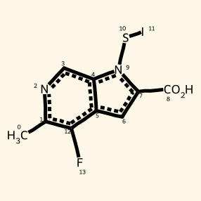 Cc1ncc2c(cc(C(=O)O)n2SI)c1F